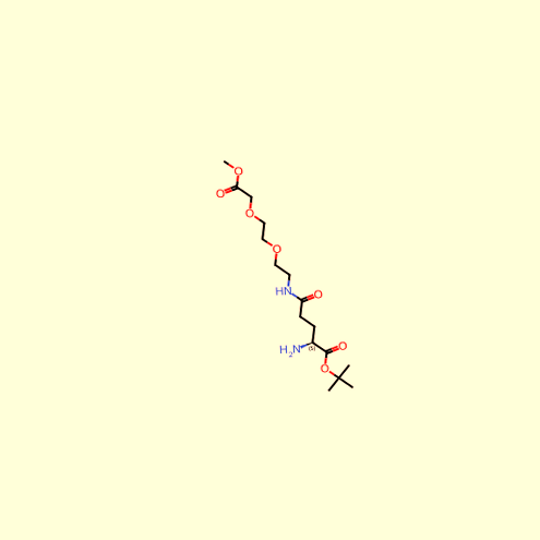 COC(=O)COCCOCCNC(=O)CC[C@H](N)C(=O)OC(C)(C)C